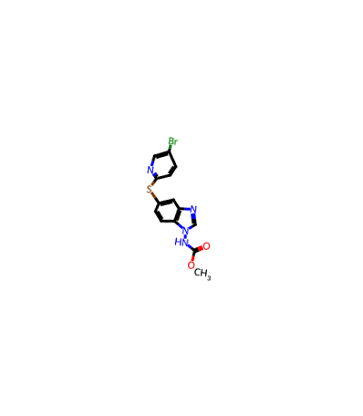 COC(=O)Nn1cnc2cc(Sc3ccc(Br)cn3)ccc21